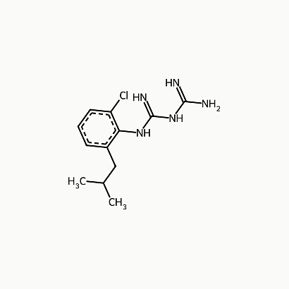 CC(C)Cc1cccc(Cl)c1NC(=N)NC(=N)N